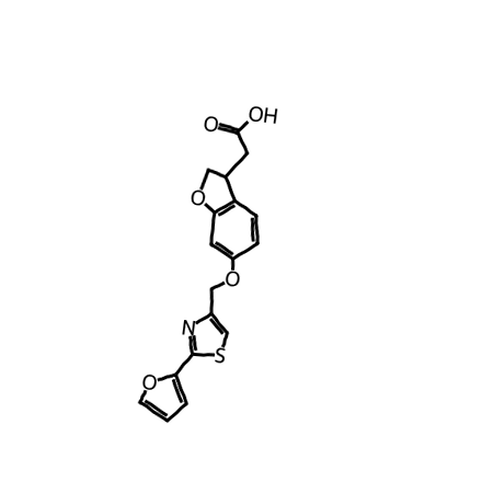 O=C(O)CC1COc2cc(OCc3csc(-c4ccco4)n3)ccc21